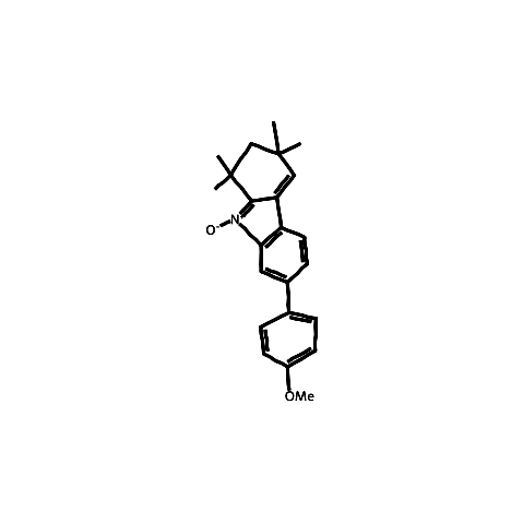 COc1ccc(-c2ccc3c(c2)[N+]([O-])=C2C3=CC(C)(C)CC2(C)C)cc1